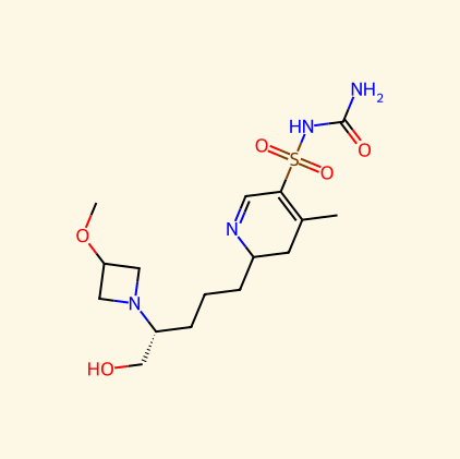 COC1CN([C@@H](CO)CCCC2CC(C)=C(S(=O)(=O)NC(N)=O)C=N2)C1